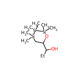 CCC(O)C1C[Si](C)(C)[Si](C)(C)[Si](C)(C)O1